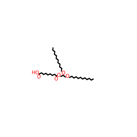 CCCCCCCCCCCCOCC(COC(=O)CCCCCCCC(=O)O)OCCCCCCCCCCCC